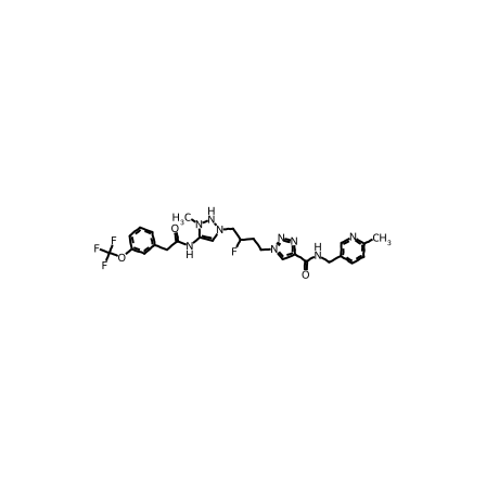 Cc1ccc(CNC(=O)c2cn(CCC(F)CN3C=C(NC(=O)Cc4cccc(OC(F)(F)F)c4)N(C)N3)nn2)cn1